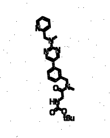 CN(Cc1cccc(-c2cnc(N(C)Cc3ccccn3)nc2)c1)C(=O)CNC(=O)OC(C)(C)C